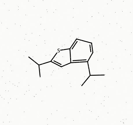 CC(C)c1cc2c(C(C)C)cccc2s1